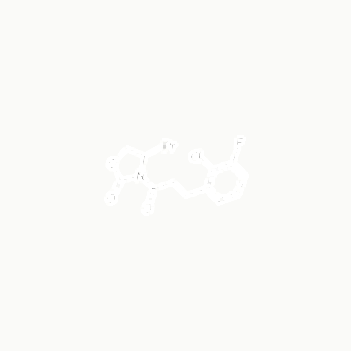 CC(C)C1COC(=O)N1C(=O)CCc1cccc(F)c1Cl